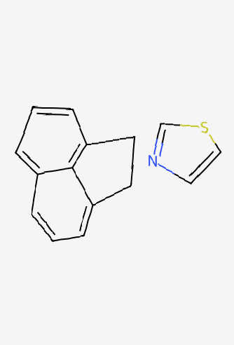 c1cc2c3c(cccc3c1)CC2.c1cscn1